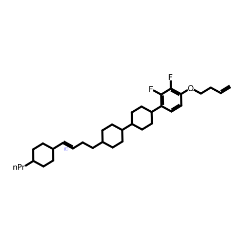 C=CCCOc1ccc(C2CCC(C3CCC(CC/C=C/C4CCC(CCC)CC4)CC3)CC2)c(F)c1F